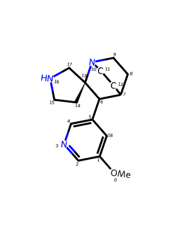 COc1cncc(C2C3CCN(CC3)[C@]23CCNC3)c1